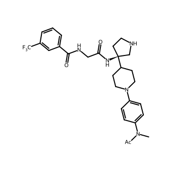 CC(=O)N(C)c1ccc(N2CCC([C@]3(NC(=O)CNC(=O)c4cccc(C(F)(F)F)c4)CCNC3)CC2)cc1